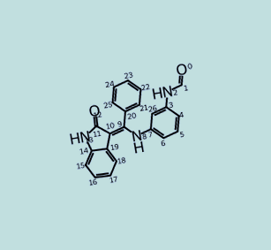 O=CNc1cccc(NC(=C2C(=O)Nc3ccccc32)c2ccccc2)c1